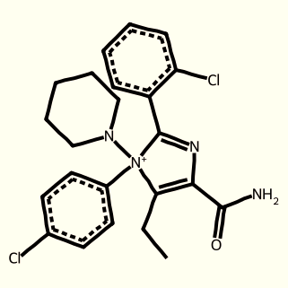 CCC1=C(C(N)=O)N=C(c2ccccc2Cl)[N+]1(c1ccc(Cl)cc1)N1CCCCC1